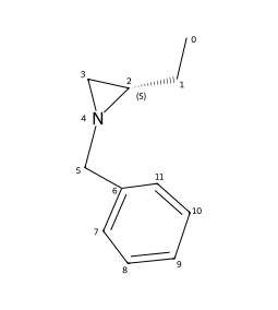 CC[C@H]1CN1Cc1ccccc1